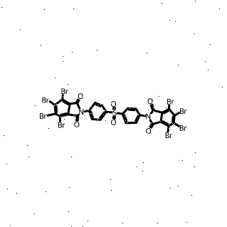 O=C1c2c(Br)c(Br)c(Br)c(Br)c2C(=O)N1c1ccc(S(=O)(=O)c2ccc(N3C(=O)c4c(Br)c(Br)c(Br)c(Br)c4C3=O)cc2)cc1